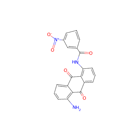 Nc1cccc2c1C(=O)c1cccc(NC(=O)c3cccc([N+](=O)[O-])c3)c1C2=O